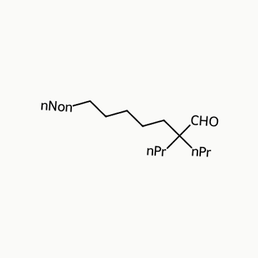 CCCCCCCCCCCCCCC(C=O)(CCC)CCC